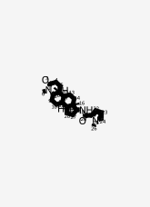 CN1C(=O)CC[C@@]2(C)C1CC[C@@H]1[C@H]2CC[C@]2(C)C(NC(=O)c3cccn3C)CC[C@@H]12